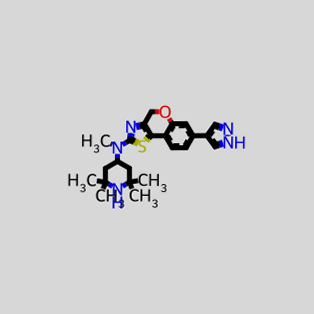 CN(c1nc2c(s1)-c1ccc(-c3cn[nH]c3)cc1OC2)C1CC(C)(C)NC(C)(C)C1